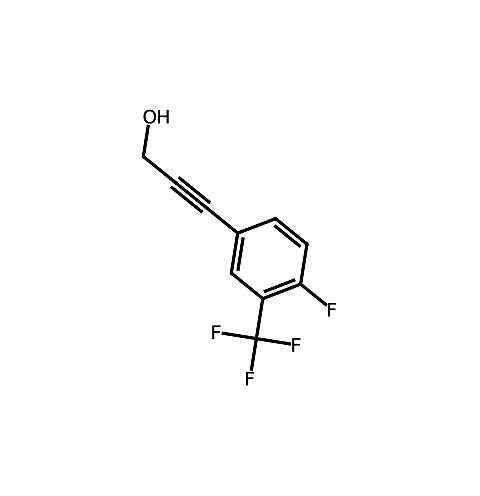 OCC#Cc1ccc(F)c(C(F)(F)F)c1